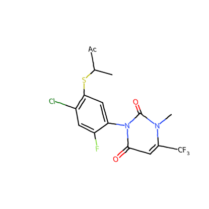 CC(=O)C(C)Sc1cc(-n2c(=O)cc(C(F)(F)F)n(C)c2=O)c(F)cc1Cl